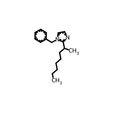 CCCCCCC(C)c1nccn1Cc1ccccc1